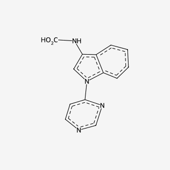 O=C(O)Nc1cn(-c2ccncn2)c2ccccc12